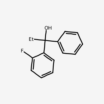 CCC(O)(c1ccccc1)c1ccccc1F